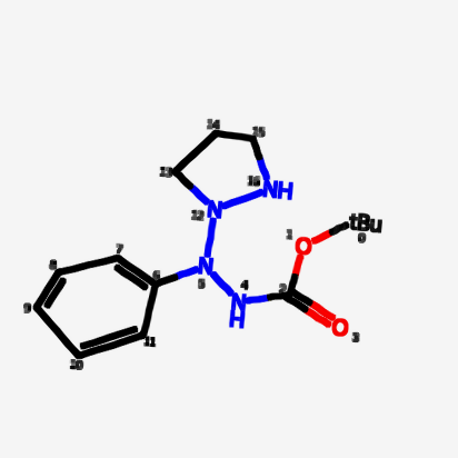 CC(C)(C)OC(=O)NN(c1ccccc1)N1CCCN1